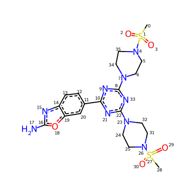 CS(=O)(=O)N1CCN(c2nc(-c3ccc4nc(N)oc4c3)nc(N3CCN(S(C)(=O)=O)CC3)n2)CC1